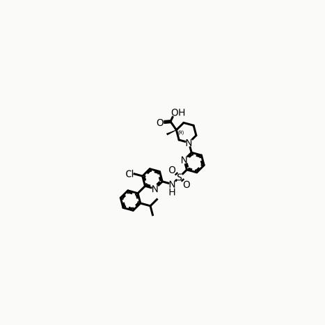 CC(C)c1ccccc1-c1nc(NS(=O)(=O)c2cccc(N3CCC[C@@](C)(C(=O)O)C3)n2)ccc1Cl